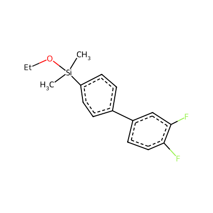 CCO[Si](C)(C)c1ccc(-c2ccc(F)c(F)c2)cc1